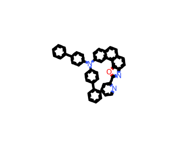 c1ccc(-c2ccc(N(c3ccc(-c4ccccc4)cc3)c3ccc4ccc5ccc6nc(-c7ccccn7)oc6c5c4c3)cc2)cc1